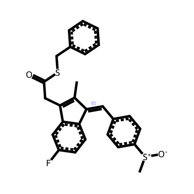 CC1=C(CC(=O)SCc2ccccc2)c2cc(F)ccc2/C1=C\c1ccc([S+](C)[O-])cc1